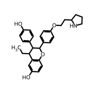 CCC1c2cc(O)ccc2OC(c2ccc(OCCC3CCCN3)cc2)C1c1ccc(O)cc1